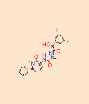 C[C@H](NC(=O)[C@H](O)c1cc(F)cc(F)c1)C(=O)N[C@H]1C=CC[C@H](c2ccccc2)N(C)C1=O